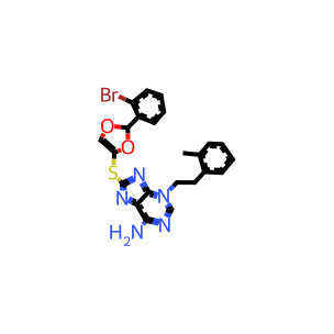 Cc1ccccc1CCn1cnc(N)c2nc(SC3=COC(c4ccccc4Br)O3)nc1-2